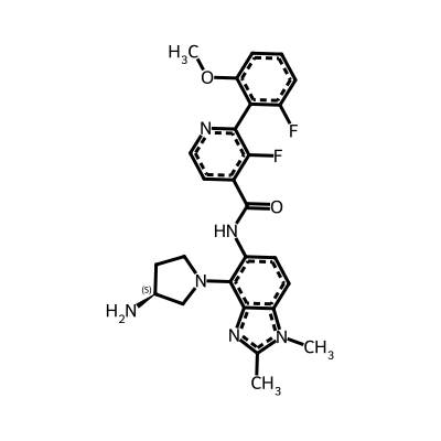 COc1cccc(F)c1-c1nccc(C(=O)Nc2ccc3c(nc(C)n3C)c2N2CC[C@H](N)C2)c1F